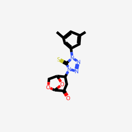 Cc1cc(C)cc(-n2nnn(C3CC(=O)C4OCC3O4)c2=S)c1